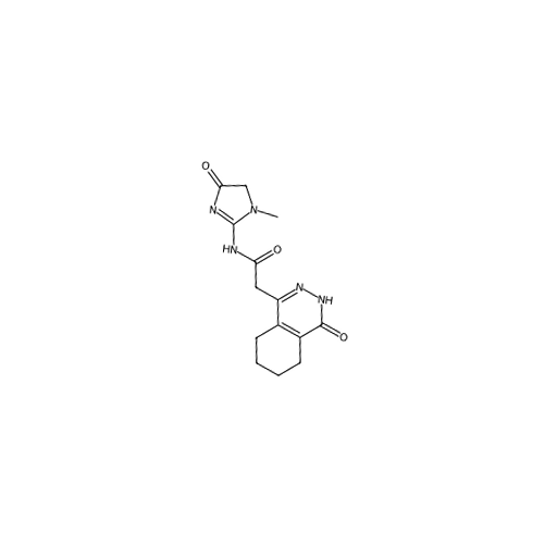 CN1CC(=O)N=C1NC(=O)Cc1n[nH]c(=O)c2c1CCCC2